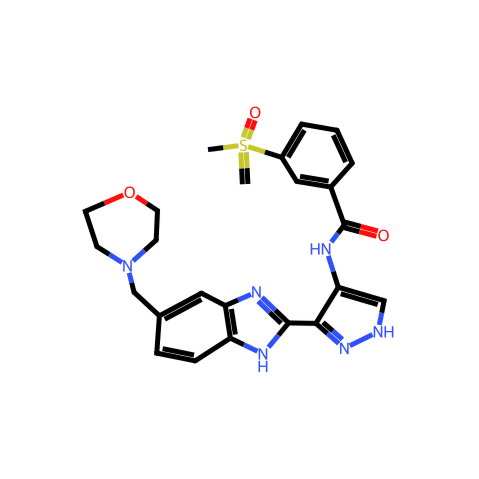 C=S(C)(=O)c1cccc(C(=O)Nc2c[nH]nc2-c2nc3cc(CN4CCOCC4)ccc3[nH]2)c1